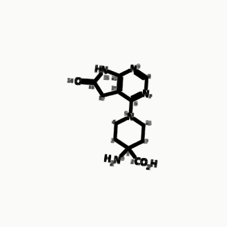 NC1(C(=O)O)CCN(c2ncnc3c2CC(=O)N3)CC1